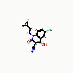 N#Cc1c(O)c2cc(F)ccc2n(CCC2CC2)c1=O